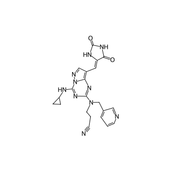 N#CCCN(Cc1cccnc1)c1nc(NC2CC2)n2ncc(/C=C3\NC(=O)NC3=O)c2n1